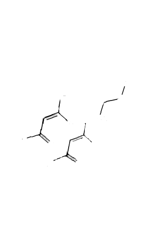 CC(=O)/C=C(/C)[O-].CC(=O)/C=C(/C)[O-].CC[O][Al+2]